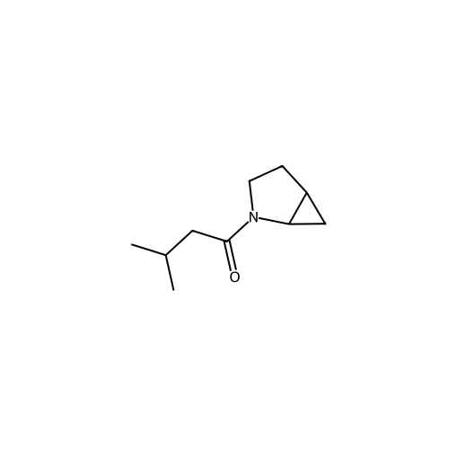 CC(C)CC(=O)N1CCC2CC21